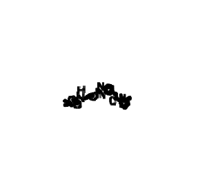 Cc1cccc(C(=O)Cc2ccc3ncc(OCCNC(=O)OC(C)(C)C)nc3c2)n1